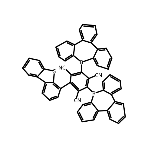 N#Cc1c(B2c3ccccc3-c3ccccc3-c3ccccc32)c(C#N)c(-c2cccc3c2sc2ccccc23)c(C#N)c1B1c2ccccc2-c2ccccc2-c2ccccc21